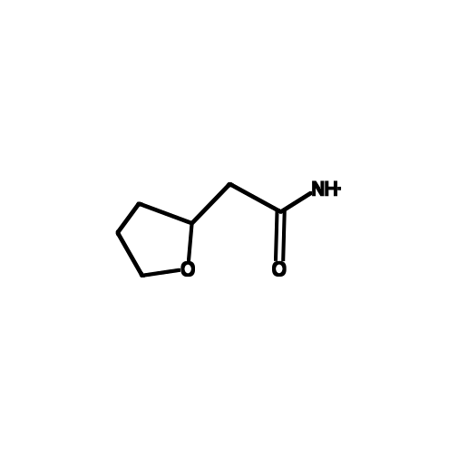 [NH]C(=O)CC1CCCO1